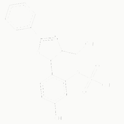 Cc1ccc(C2OC(c3ccccc3)=NC2CO)c(OS(=O)(=O)O)c1